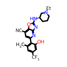 CCN1CCC[C@@H](Nc2nc3nc(-c4c(C)cc(C(F)(F)F)cc4O)cc(C#N)c3o2)C1